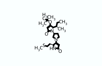 CC[C@H](C)[C@H]1C(OC(C)(C)C)=CC(=O)N1[C@H]1CCN(C2=CC(=O)N[C@H]2CCSC)C1